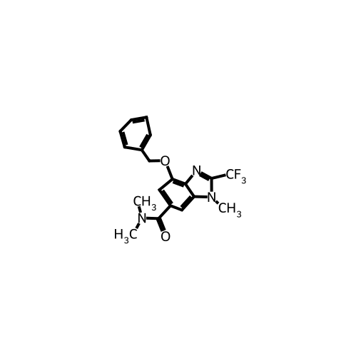 CN(C)C(=O)c1cc(OCc2ccccc2)c2nc(C(F)(F)F)n(C)c2c1